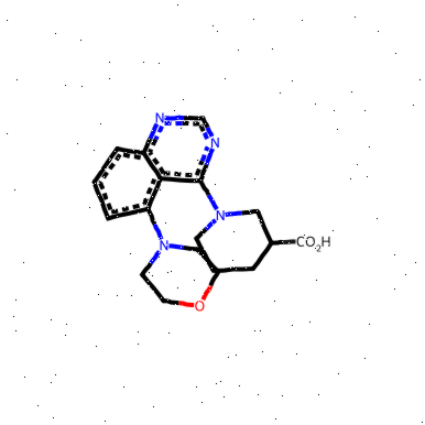 O=C(O)C1CCCN(c2ncnc3cccc(N4CCOCC4)c23)C1